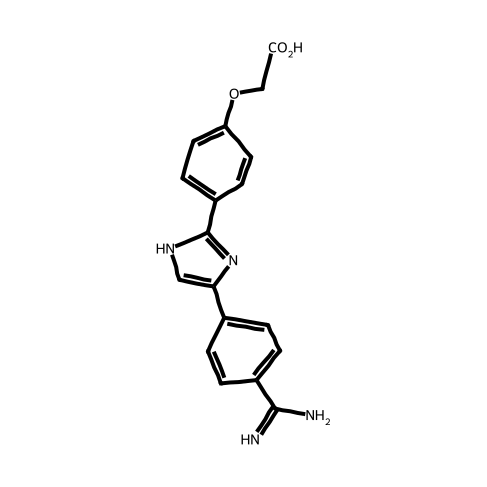 N=C(N)c1ccc(-c2c[nH]c(-c3ccc(OCC(=O)O)cc3)n2)cc1